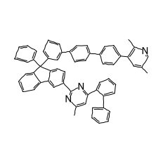 Cc1cnc(C)c(-c2ccc(-c3ccc(-c4cccc(C5(c6ccccc6)c6ccccc6-c6cc(-c7nc(C)cc(-c8ccccc8-c8ccccc8)n7)ccc65)c4)cc3)cc2)c1